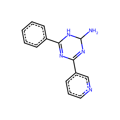 NC1N=C(c2cccnc2)N=C(c2ccccc2)N1